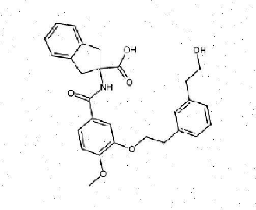 COc1ccc(C(=O)NC2(C(=O)O)Cc3ccccc3C2)cc1OCCc1cccc(CCO)c1